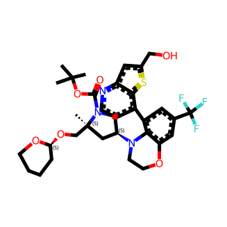 CC(C)(C)OC(=O)N1C[C@@H](N2CCOc3cc(C(F)(F)F)cc(-c4ccnc5cc(CO)sc45)c32)C[C@@]1(C)CO[C@H]1CCCCO1